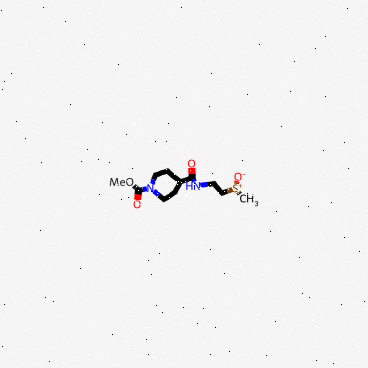 COC(=O)N1CCC(C(=O)NCC[S+](C)[O-])CC1